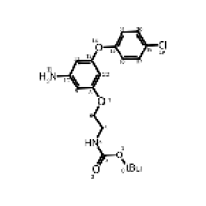 CC(C)(C)OC(=O)NCCOc1cc(N)cc(Oc2ccc(Cl)cc2)c1